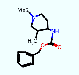 CSN1CCC(NC(=O)OCc2ccccc2)C(C)C1